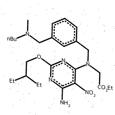 CCCCN(C)Cc1cccc(CN(CC(=O)OCC)c2nc(OCC(CC)CC)nc(N)c2[N+](=O)[O-])c1